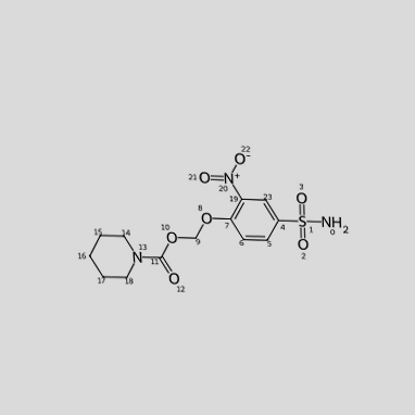 NS(=O)(=O)c1ccc(OCOC(=O)N2CCCCC2)c([N+](=O)[O-])c1